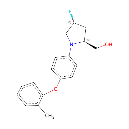 Cc1ccccc1Oc1ccc(N2C[C@@H](F)C[C@H]2CO)cc1